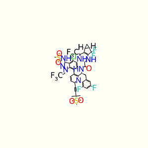 CC(C)(C#Cc1ccc(-c2ccc(Cl)c3c(NS(C)(=O)=O)nn(CC(F)(F)F)c23)c([C@H](Cc2cc(F)cc(F)c2)NC(=O)CNC2=C(C(=N)C(F)(F)F)[C@H]3C[C@H]3C2(F)F)n1)S(C)(=O)=O